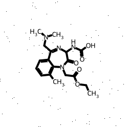 CCOC(=O)CN1C(=O)C(NC(=O)O)N=C(CN(C)C)c2cccc(C)c21